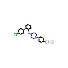 O=[C]c1ccc(N2CCN(Cc3ccccc3-c3ccc(Cl)cc3)CC2)cc1